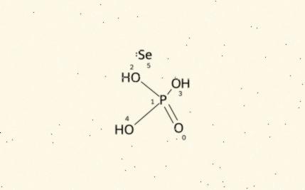 O=P(O)(O)O.[Se]